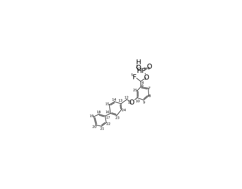 O=[PH](O)OC(F)c1cccc(OCc2ccc(-c3ccccc3)cc2)c1